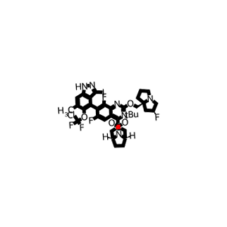 Cc1cc2[nH]nc(I)c2c(-c2c(F)cc3c(N4C[C@H]5CC[C@@H](C4)N5C(=O)OC(C)(C)C)nc(OC[C@@]45CCCN4C[C@H](F)C5)nc3c2F)c1OC(F)(F)Cl